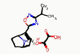 CC(C)c1noc(C2=CCC3CCC2N3C)n1.O=C(O)C(=O)O